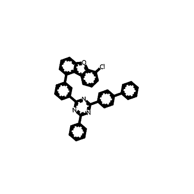 Clc1cccc2c1oc1cccc(-c3cccc(-c4nc(-c5ccccc5)nc(-c5ccc(-c6ccccc6)cc5)n4)c3)c12